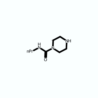 CCCNC(=O)N1[CH]CNCC1